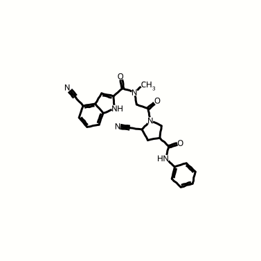 CN(CC(=O)N1CC(C(=O)Nc2ccccc2)CC1C#N)C(=O)c1cc2c(C#N)cccc2[nH]1